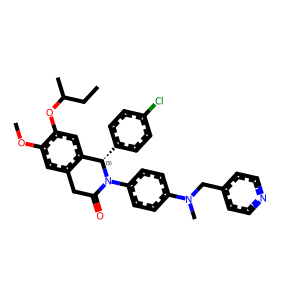 CCC(C)Oc1cc2c(cc1OC)CC(=O)N(c1ccc(N(C)Cc3ccncc3)cc1)[C@H]2c1ccc(Cl)cc1